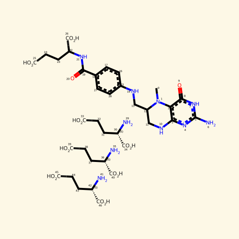 CN1c2c(nc(N)[nH]c2=O)NCC1CNc1ccc(C(=O)NC(CCC(=O)O)C(=O)O)cc1.N[C@@H](CCC(=O)O)C(=O)O.N[C@@H](CCC(=O)O)C(=O)O.N[C@@H](CCC(=O)O)C(=O)O